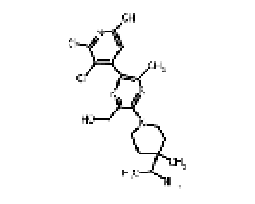 Cc1nc(N2CCC(C)(C(C)N)CC2)c(CO)nc1-c1cc(O)nc(Cl)c1Cl